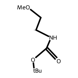 COC[CH]NC(=O)OC(C)(C)C